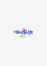 Cc1cn2cc(-c3nc(=O)n4cc(N5CCN[C@@H](C)C5)ccc4n3)cc(F)c2n1.Cl